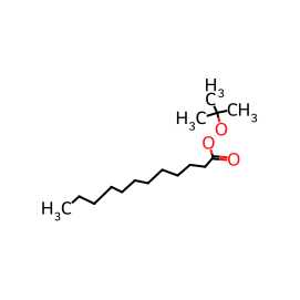 CCCCCCCCCCCC(=O)OOC(C)(C)C